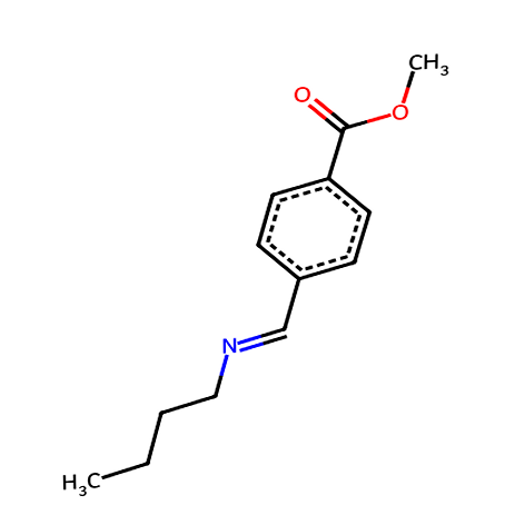 CCCC/N=C/c1ccc(C(=O)OC)cc1